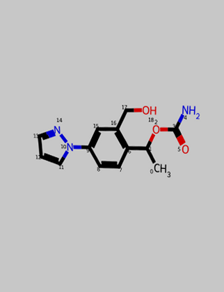 CC(OC(N)=O)c1ccc(-n2cccn2)cc1CO